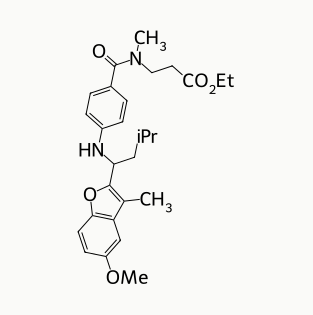 CCOC(=O)CCN(C)C(=O)c1ccc(NC(CC(C)C)c2oc3ccc(OC)cc3c2C)cc1